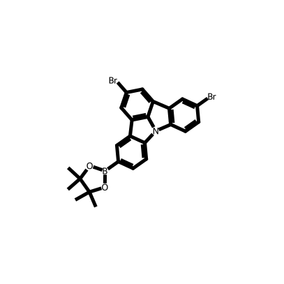 CC1(C)OB(c2ccc3c(c2)c2cc(Br)cc4c5cc(Br)ccc5n3c42)OC1(C)C